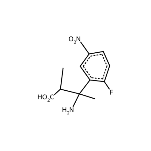 CC(C(=O)O)C(C)(N)c1cc([N+](=O)[O-])ccc1F